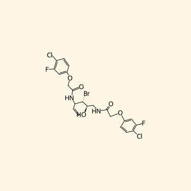 C=CC(NC(=O)COc1ccc(Cl)c(F)c1)[C@H](Br)[C@H](O)CNC(=O)COc1ccc(Cl)c(F)c1